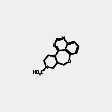 O=C(O)N1CCN2c3ncnc4cccc(c34)OCC2C1